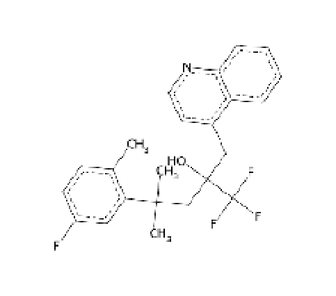 Cc1ccc(F)cc1C(C)(C)CC(O)(Cc1ccnc2ccccc12)C(F)(F)F